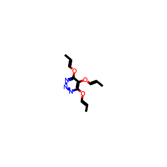 CC=COc1nnnc(OC=CC)c1OC=CC